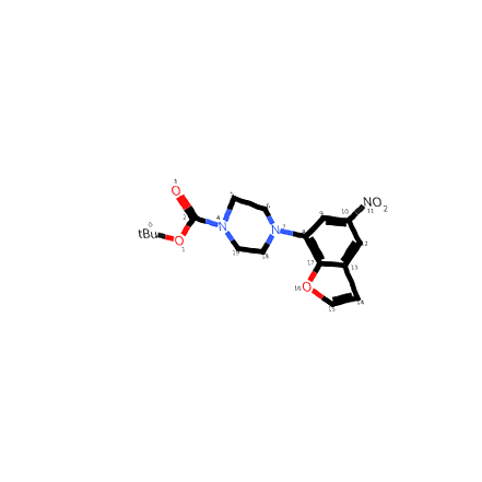 CC(C)(C)OC(=O)N1CCN(c2cc([N+](=O)[O-])cc3ccoc23)CC1